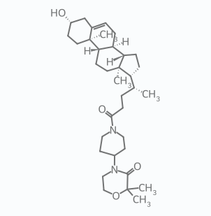 C[C@H](CCC(=O)N1CCC(N2CCOC(C)(C)C2=O)CC1)[C@H]1CC[C@H]2[C@@H]3CC=C4C[C@@H](O)CC[C@]4(C)[C@H]3CC[C@]12C